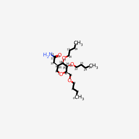 CCCCOC[C@H]1OC[C@@H](CC(N)=O)[C@@H](OCCCC)[C@H]1OCCCC